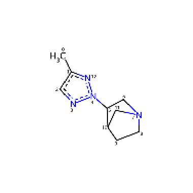 Cc1cnn(C2CN3CCC2C3)n1